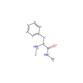 CCNC(=O)C(Cc1ccccc1)NI